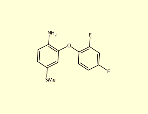 CSc1ccc(N)c(Oc2ccc(F)cc2F)c1